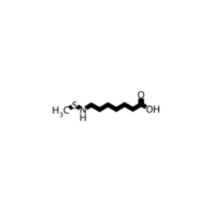 CSNCCCCCCC(=O)O